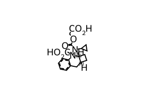 O=C(O)COC(=O)N(C1CC1)[N+]1(C(=O)O)c2ccccc2C[C@H]2CC[C@H]21